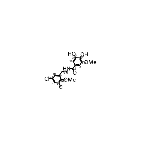 COc1cc(C(=O)N/N=C/c2cc(Cl)cc(Cl)c2OC)cc(O)c1O